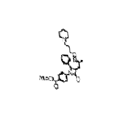 COC(=O)c1ccc(N2C(=O)/C(=C/C(C)=NOCCCN3CCCCC3)C2c2ccccc2)cc1